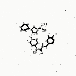 CCN(C(=O)NCc1ccc(F)c(F)c1)C1CCN(C[C@H]2CN([C@@H](C(=O)O)C(C)C)C[C@@H]2c2ccccc2)CC1